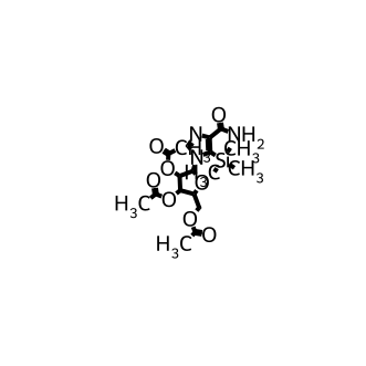 CC(=O)OCC1OC(n2cnc(C(N)=O)c2[Si](C)(C)C)C(OC(C)=O)C1OC(C)=O